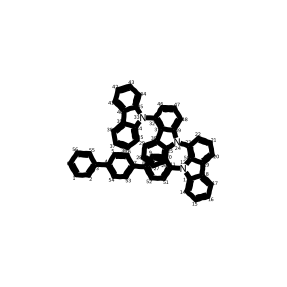 c1ccc(-c2ccc(-c3ccc(-n4c5ccccc5c5cccc(-n6c7ccccc7c7c(-n8c9ccccc9c9ccccc98)cccc76)c54)cc3)cc2)cc1